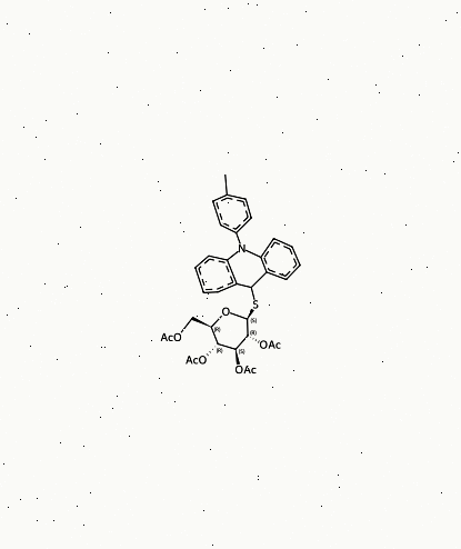 CC(=O)OC[C@H]1O[C@@H](SC2c3ccccc3N(c3ccc(C)cc3)c3ccccc32)[C@H](OC(C)=O)[C@@H](OC(C)=O)[C@@H]1OC(C)=O